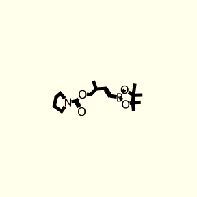 CC(C=CB1OC(C)(C)C(C)(C)O1)COC(=O)N1CCCC1